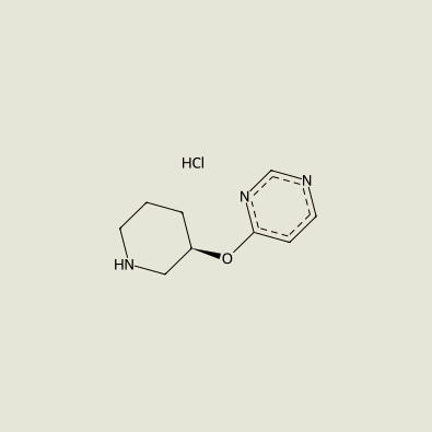 Cl.c1cc(O[C@@H]2CCCNC2)ncn1